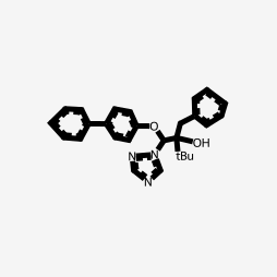 CC(C)(C)C(O)(Cc1ccccc1)C(Oc1ccc(-c2ccccc2)cc1)n1cncn1